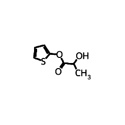 CC(O)C(=O)Oc1cccs1